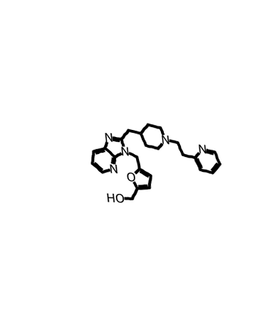 OCc1ccc(Cn2c(CC3CCN(CCc4ccccn4)CC3)nc3cccnc32)o1